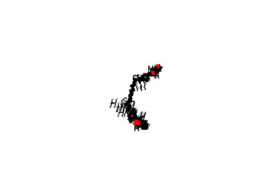 CC(CCCCCCCCC(C)NC(=O)NC1CCC(CCN2[C@@H]3CC[C@H]2c2ccccc23)CC1)NC(=O)NC1CCC(CCN2[C@@H]3CC[C@H]2c2ccccc23)CC1